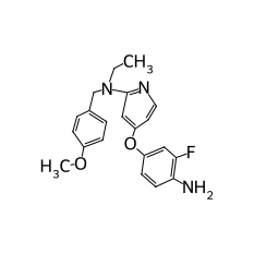 CCN(Cc1ccc(OC)cc1)c1cc(Oc2ccc(N)c(F)c2)ccn1